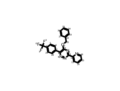 FC(F)(F)c1ccc(-c2nnc(-c3ccccn3)nc2OCc2ccccc2)cc1